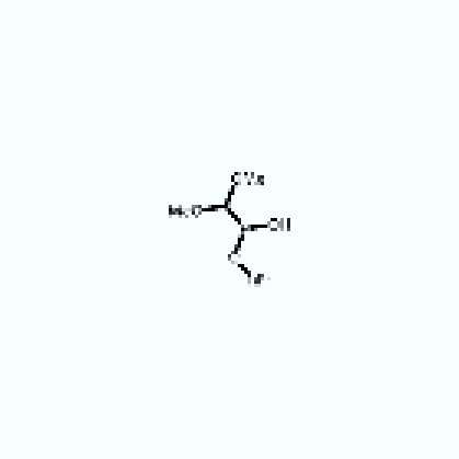 CCCOP(O)C(OC)OC